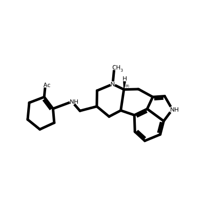 CC(=O)C1=C(NCC2CC3c4cccc5[nH]cc(c45)C[C@H]3N(C)C2)CCCC1